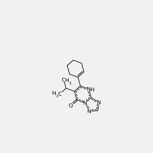 CC(C)c1c(C2=CCCCC2)[nH]c2ncnn2c1=O